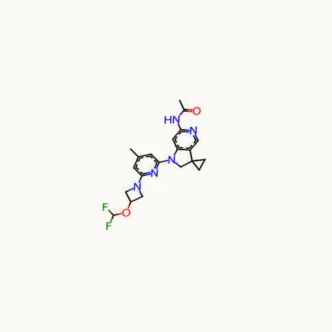 CC(=O)Nc1cc2c(cn1)C1(CC1)CN2c1cc(C)cc(N2CC(OC(F)F)C2)n1